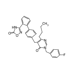 CCCCc1ncn(Cc2ccc(F)cc2)c(=O)c1Cc1ccc(-c2ccccc2-c2noc(=O)[nH]2)cc1